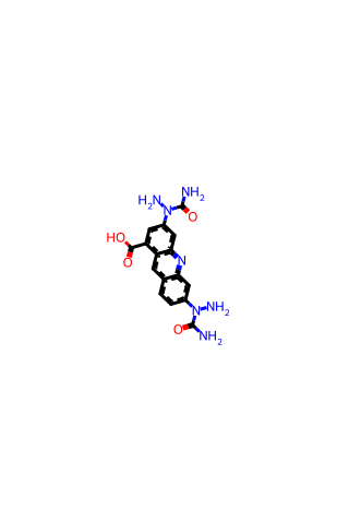 NC(=O)N(N)c1ccc2cc3c(C(=O)O)cc(N(N)C(N)=O)cc3nc2c1